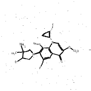 CCC1CN(c2c(F)cc3c(=O)c(OC(=O)O)cn([C@@H]4C[C@@H]4F)c3c2OC)CC1(C)N